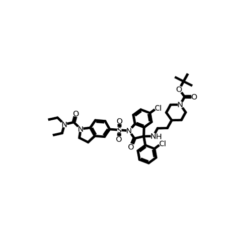 CCN(CC)C(=O)N1CCc2cc(S(=O)(=O)N3C(=O)C(NCCC4CCN(C(=O)OC(C)(C)C)CC4)(c4ccccc4Cl)c4cc(Cl)ccc43)ccc21